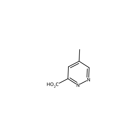 Cc1cnnc(C(=O)O)c1